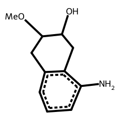 COC1Cc2cccc(N)c2CC1O